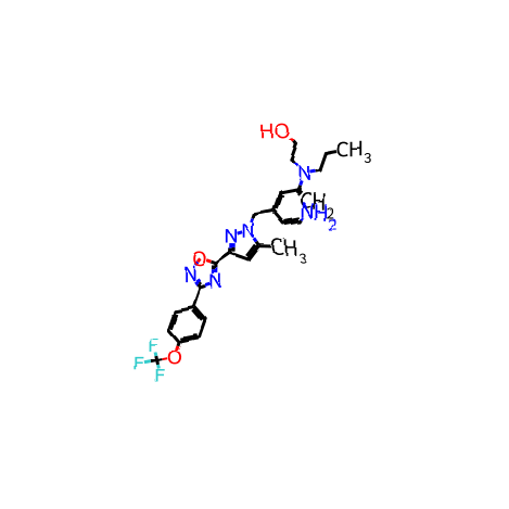 C=C(/C=C(\C=C/N)Cn1nc(-c2nc(-c3ccc(OC(F)(F)F)cc3)no2)cc1C)N(CCC)CCO